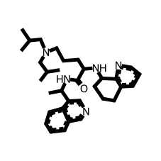 CC(C)CN(CCCC(NC1CCCc2cccnc21)C(=O)NC(C)c1cncc2ccccc12)CC(C)C